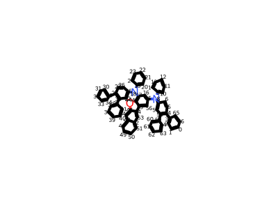 c1ccc(-c2ccc(N(c3ccccc3)c3cc(N(c4ccccc4)c4ccc(-c5ccccc5)c(-c5ccccc5)c4)c4oc5cc6ccccc6cc5c4c3)cc2-c2ccccc2)cc1